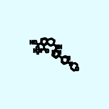 NC(=O)c1c(C(=O)O)ccc2c1CC(Nc1nccc(-c3ccc(N4CCOCC4)nc3)n1)CC2